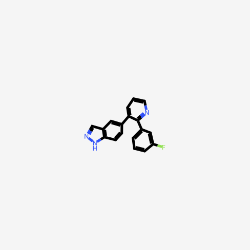 Fc1cccc(-c2ncccc2-c2ccc3[nH]ncc3c2)c1